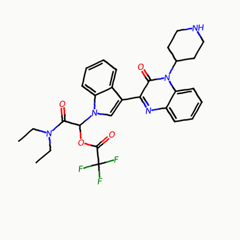 CCN(CC)C(=O)C(OC(=O)C(F)(F)F)n1cc(-c2nc3ccccc3n(C3CCNCC3)c2=O)c2ccccc21